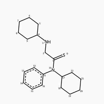 S=C(CNC1CCCCC1)N(c1ccccc1)C1CCCCC1